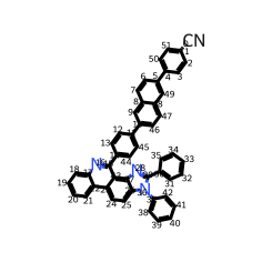 N#Cc1ccc(-c2ccc3cc(-c4ccc(-c5nc6ccccc6c6ccc7c(nc(-c8ccccc8)n7-c7ccccc7)c56)cc4)ccc3c2)cc1